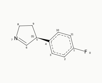 Fc1ccc([C@H]2C=NCC2)cc1